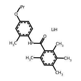 Cc1cc(OC(C)C)ccc1PC(=O)c1c(C)cc(C)c(C)c1C.[LiH]